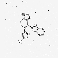 N#Cc1coc(N2CCc3[nH]cnc3[C@H]2c2cc3ccccc3o2)n1